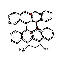 NCCCN.c1ccc(P(c2ccccc2)c2ccc3ccccc3c2-c2c(P(c3ccccc3)c3ccccc3)ccc3ccccc23)cc1